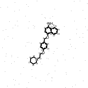 Nc1ccc(OCc2ccc(OCCN3CCCCC3)cc2)c2ccccc12